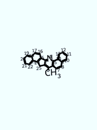 Cc1c2c(nc3c1ccc1ccccc13)-c1ccc3ccccc3c1C2